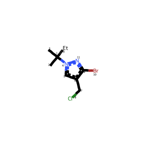 CCC(C)(C)n1cc(CCl)c(Br)n1